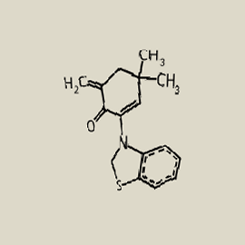 C=C1CC(C)(C)C=C(N2CSc3ccccc32)C1=O